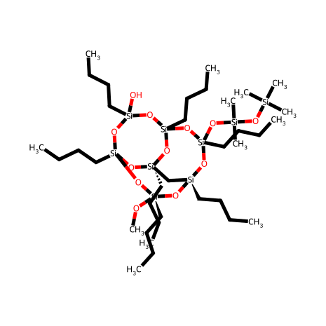 CCCC[Si]1(O)O[Si]2(CCCC)O[Si](CCCC)(O[Si](C)(C)O[Si](C)(C)C)O[Si@@]3(CCCC)C[Si@](CCCC)(O2)O[Si](CCCC)(O1)O[Si@@](CCCC)(OC)O3